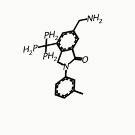 Cc1cccc(N2Cc3c(cc(CN)cc3C(P)(P)P)C2=O)c1